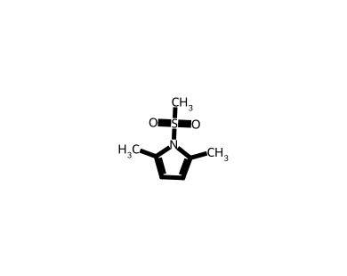 Cc1ccc(C)n1S(C)(=O)=O